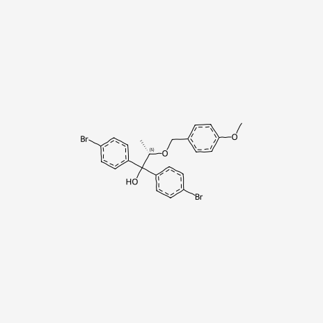 COc1ccc(CO[C@@H](C)C(O)(c2ccc(Br)cc2)c2ccc(Br)cc2)cc1